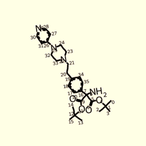 CC(C)(C)OC(=O)C(N)(C(=O)OC(C)(C)C)c1ccc(CCN2CCN(c3ccncc3)CC2)cc1